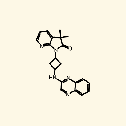 CC1(C)C(=O)N(C2CC(Nc3cnc4ccccc4n3)C2)c2ncccc21